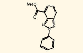 COC(=O)c1cccc2nn(-c3ccccc3)nc12